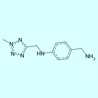 Cn1nnc(CNc2ccc(CN)cc2)n1